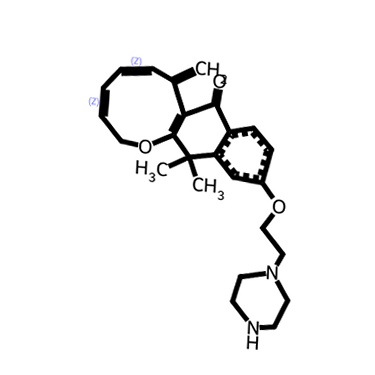 C=C1/C=C\C=C/COC2=C1C(=O)c1ccc(OCCN3CCNCC3)cc1C2(C)C